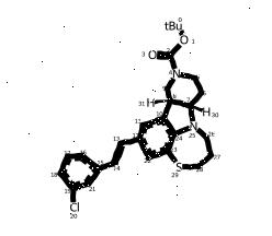 CC(C)(C)OC(=O)N1CC[C@H]2[C@@H](C1)c1cc(/C=C/c3cccc(Cl)c3)cc3c1N2CCCS3